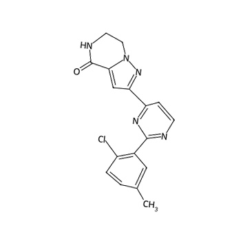 Cc1ccc(Cl)c(-c2nccc(-c3cc4n(n3)CCNC4=O)n2)c1